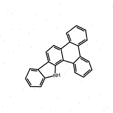 c1ccc2c(c1)[nH]c1c2ccc2c3ccccc3c3ccccc3c21